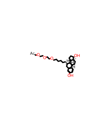 CC(=O)COCCOCCOCCCCCC[C@@H]1Cc2cc(O)ccc2[C@H]2CC[C@]3(C)[C@@H](O)CC[C@H]3[C@H]12